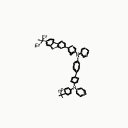 CCCC(C)(C)c1ccc(N(c2ccccc2)c2ccc(-c3ccc(N(c4ccccc4)c4ccc(-c5ccc6c(c5)Cc5cc(C(C)(CC)CC)ccc5-6)cc4)cc3)cc2)cc1